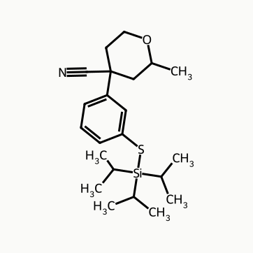 CC1CC(C#N)(c2cccc(S[Si](C(C)C)(C(C)C)C(C)C)c2)CCO1